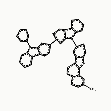 Cc1ccc2ncc3c4cc(-n5c6ccccc6c6ccc(-c7ccc8c9ccccc9n(-c9ccccc9)c8c7)cc65)ccc4oc3c2c1